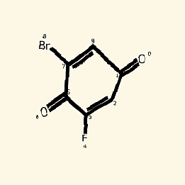 O=C1C=C(F)C(=O)C(Br)=C1